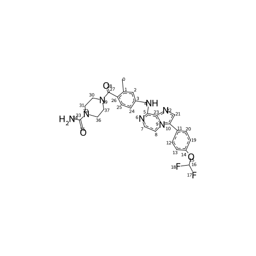 Cc1cc(Nc2nccn3c(-c4ccc(OC(F)F)cc4)cnc23)ccc1C(=O)N1CCN(C(N)=O)CC1